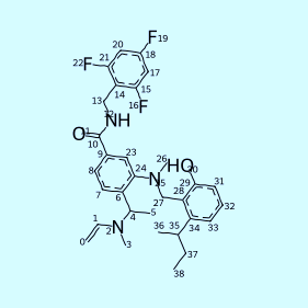 C=CN(C)C(C)c1ccc(C(=O)NCc2c(F)cc(F)cc2F)cc1N(C)Cc1c(O)cccc1C(C)CC